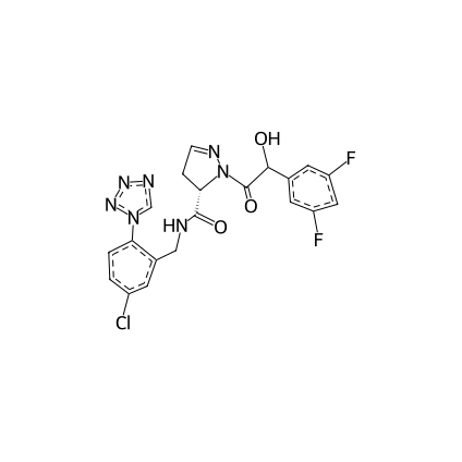 O=C(NCc1cc(Cl)ccc1-n1cnnn1)[C@@H]1CC=NN1C(=O)C(O)c1cc(F)cc(F)c1